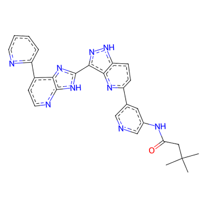 CC(C)(C)CC(=O)Nc1cncc(-c2ccc3[nH]nc(-c4nc5c(-c6ccccn6)ccnc5[nH]4)c3n2)c1